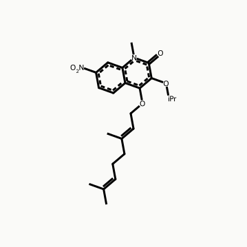 CC(C)=CCC/C(C)=C/COc1c(OC(C)C)c(=O)n(C)c2cc([N+](=O)[O-])ccc12